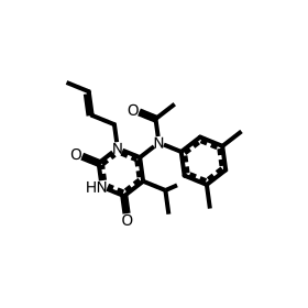 C/C=C/Cn1c(N(C(C)=O)c2cc(C)cc(C)c2)c(C(C)C)c(=O)[nH]c1=O